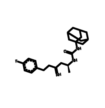 C[C@@H](CC(=N)CCc1ccc(F)cc1)NC(=O)NC12CC3CC(CC(C3)C1)C2